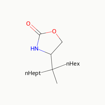 CCCCCCCC(C)(CCCCCC)C1COC(=O)N1